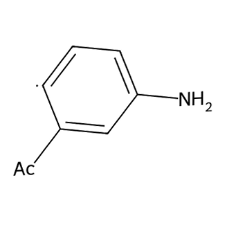 CC(=O)c1[c]ccc(N)c1